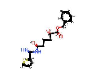 N=C(NC(=O)CCCC(=O)C(=O)OCc1ccccc1)c1cccs1